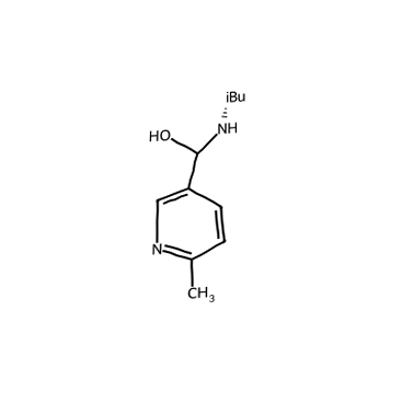 CC[C@@H](C)NC(O)c1ccc(C)nc1